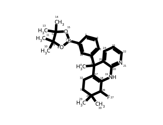 CC1(c2cccc(B3OC(C)(C)C(C)(C)O3)c2)C2=C(Nc3ncccc31)C(F)C(C)(C)CC2